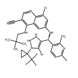 [2H]C1=C([C@@H](Nc2cc(Cl)c3ncc(C#N)c(NCC(C)(C)C)c3c2)c2ccc(F)nc2C)NNN1C1(C(F)(F)F)CC1